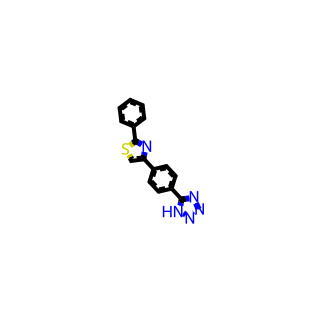 c1ccc(-c2nc(-c3ccc(-c4nnn[nH]4)cc3)cs2)cc1